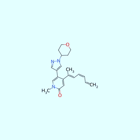 C=C/C=C\C=C(/C)c1cc(=O)n(C)cc1-c1cnn(C2CCOCC2)c1